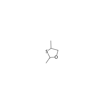 C[C]1OCC(C)S1